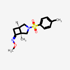 CO/N=C1/C[C@H]2CN(S(=O)(=O)c3ccc(C)cc3)C[C@@]12C